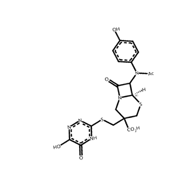 CC(=O)N(c1ccc(O)cc1)C1C(=O)N2CC(CSc3nnc(O)c(=O)[nH]3)(C(=O)O)CS[C@H]12